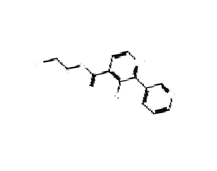 CC(C)CCNC(=O)c1ccnc(-c2cccnc2)c1N